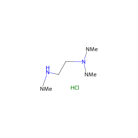 CNNCCN(NC)NC.Cl